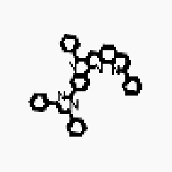 c1ccc(-c2cc(-c3ccccc3)nc(-c3ccc4c(c3)nc(-c3ccccc3)c3cc5ccc6ccc(-c7ccccc7)nc6c5nc34)n2)cc1